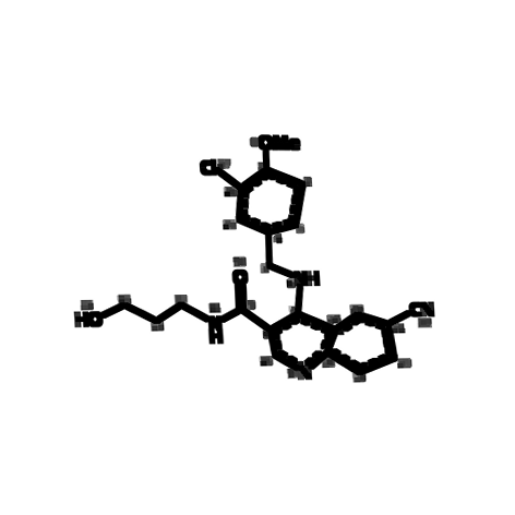 COc1ccc(CNc2c(C(=O)NCCCO)cnc3ccc(C#N)cc23)cc1Cl